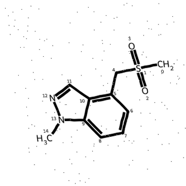 [CH2]S(=O)(=O)Cc1cccc2c1cnn2C